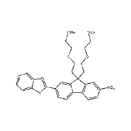 COCCOCCC1(CCOCCOC)c2cc(-c3nc4ccccc4s3)ccc2-c2ccc([N+](=O)[O-])cc21